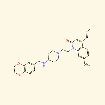 C/C=C/c1cc(=O)n(CCN2CCC(NCc3ccc4c(c3)OCCO4)CC2)c2cc(OC)ccc12